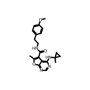 COc1ccc(CCNC(=O)c2c(C)oc3ncnc(NC4(C)CC4)c23)cc1